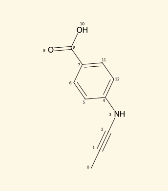 CC#CNc1ccc(C(=O)O)cc1